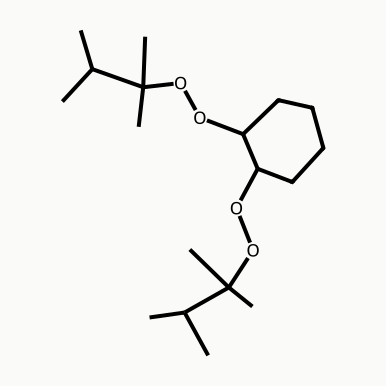 CC(C)C(C)(C)OOC1CCCCC1OOC(C)(C)C(C)C